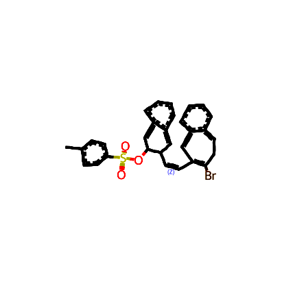 Cc1ccc(S(=O)(=O)OC2C=c3ccccc3=CC2/C=C\C2=C(Br)CC=c3ccccc3=C2)cc1